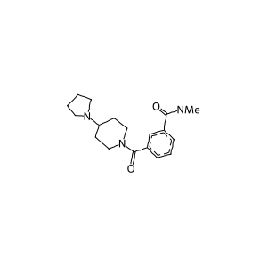 CNC(=O)c1cccc(C(=O)N2CCC(N3CCCC3)CC2)c1